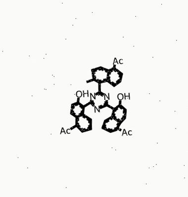 CC(=O)c1cccc2c(-c3nc(-c4c(O)ccc5c(C(C)=O)cccc45)nc(-c4c(O)ccc5c(C(C)=O)cccc45)n3)c(C)ccc12